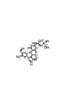 CC(C)Oc1ccc(-c2c[nH]c3nccc(Oc4c(F)cc(NC5=NCC(CO)(C(C)C)CO5)cc4F)c23)cc1C#N